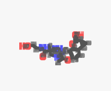 CC(N)(CN1CC(Oc2ccc3c(c2C(=O)O)OB(O)C2CC32)C1)C(=O)NCCO